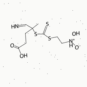 CC(C=N)(CCC(=O)O)SC(=S)SCC[NH+]([O-])O